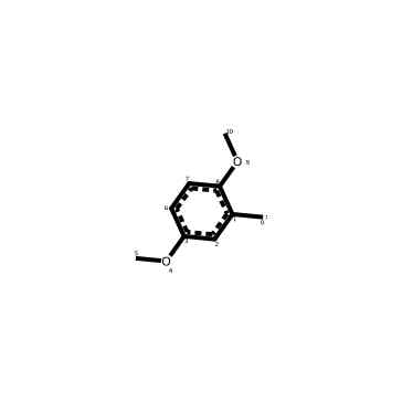 [CH]c1cc(OC)ccc1OC